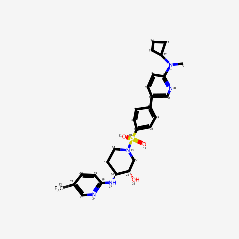 CN(c1ccc(-c2ccc(S(=O)(=O)N3CC[C@@H](Nc4ccc(C(F)(F)F)cn4)[C@@H](O)C3)cc2)cn1)C1CCC1